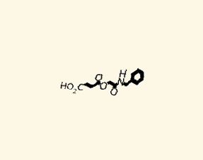 O=C(O)C=CC(=O)OCC(=O)NCc1ccccc1